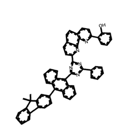 CC1(C)c2ccccc2-c2ccc(-c3c4ccccc4c(-c4nc(-c5ccccc5)nc(-c5ccc6ccc7ccc(-c8ccccc8O)nc7c6n5)n4)c4ccccc34)cc21